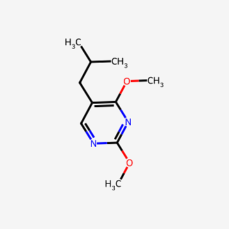 COc1ncc(CC(C)C)c(OC)n1